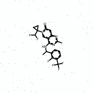 Cc1nc(NC(C)c2cccc(C(F)(F)F)c2F)c2cn(C3(C(F)F)CC3)c(=O)cc2n1